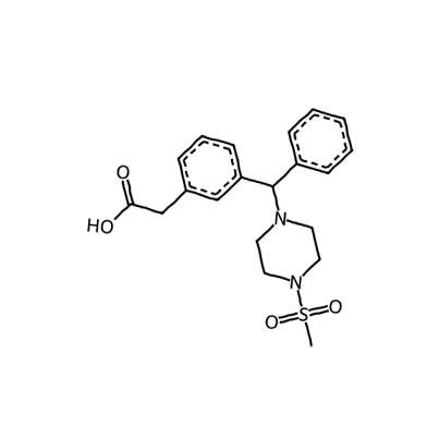 CS(=O)(=O)N1CCN(C(c2ccccc2)c2cccc(CC(=O)O)c2)CC1